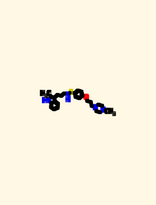 Cc1[nH]c2ccccc2c1CCCNSc1ccc(OCCCN2CCN(C)CC2)cc1